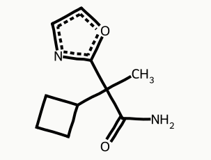 CC(C(N)=O)(c1ncco1)C1CCC1